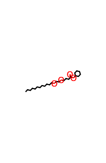 CCCCCCCCCCCCOCCOCCCC(=O)OC1CCCCC1